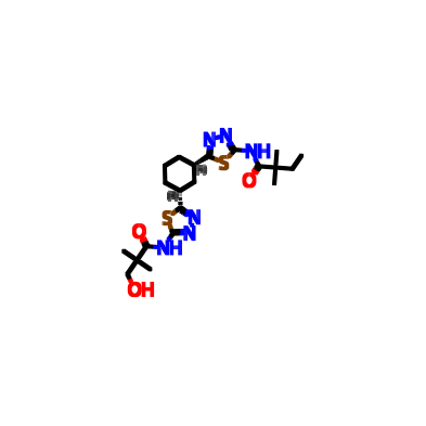 CCC(C)(C)C(=O)Nc1nnc([C@@H]2CCC[C@@H](c3nnc(NC(=O)C(C)(C)CO)s3)C2)s1